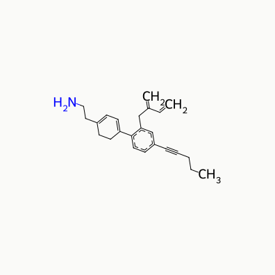 C=CC(=C)Cc1cc(C#CCCC)ccc1C1=CC=C(CCN)CC1